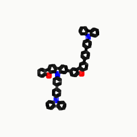 c1ccc2c(c1)oc1c2ccc2c3ccc(-c4ccc5oc6ccc(-c7ccc(-c8ccc(-n9c%10ccccc%10c%10ccccc%109)cc8)cc7)cc6c5c4)cc3n(-c3ccc(-c4ccc(-n5c6ccccc6c6ccccc65)cc4)cc3)c21